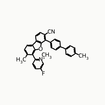 Cc1ccc(-c2ccc(-c3c(C#N)ccc4c3oc3c(-c5ccc(F)c[n+]5C)c(C)ccc34)cc2)cc1